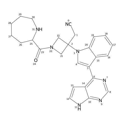 N#CCC1(n2cc(-c3ncnc4[nH]ccc34)c3ccccc32)CN(C(=O)C2CCCCCN2)C1